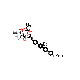 C=C(CO)C(=O)OCC(CCC1CCC(c2ccc(C3CCC(C4CCC(CCCCC)CC4)CC3)c(CC)c2)CC1)COC(=O)C(=C)COC